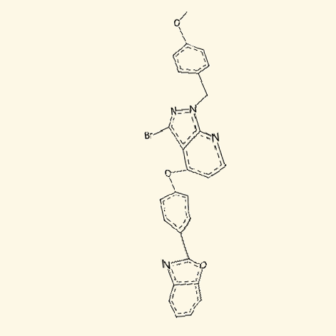 COc1ccc(Cn2nc(Br)c3c(Oc4ccc(-c5nc6ccccc6o5)cc4)ccnc32)cc1